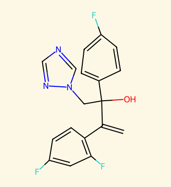 C=C(c1ccc(F)cc1F)C(O)(Cn1cncn1)c1ccc(F)cc1